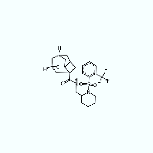 O=C(NCC1CCCCN1S(=O)(=O)c1ccccc1C(F)(F)F)C12CC3C[C@@H]4C[C@@H](C1)CC32C4